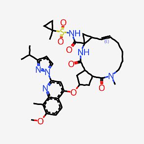 COc1ccc2c(OC3CC4C(=O)NC5(C(=O)NS(=O)(=O)C6(C)CC6)CC5/C=C/CCCCN(C)C(=O)C4C3)cc(-n3ccc(C(C)C)n3)nc2c1C